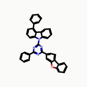 c1ccc(-c2nc(-c3ccc4c(c3)oc3ccccc34)nc(-n3c4ccccc4c4c(-c5ccccc5)cccc43)n2)cc1